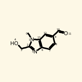 Cn1c(CO)nc2ccc(C=O)cc21